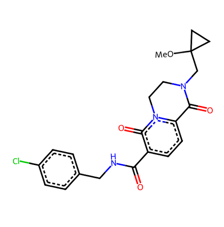 COC1(CN2CCn3c(ccc(C(=O)NCc4ccc(Cl)cc4)c3=O)C2=O)CC1